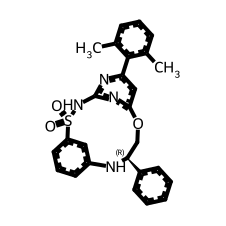 Cc1cccc(C)c1-c1cc2nc(n1)NS(=O)(=O)c1cccc(c1)N[C@H](c1ccccc1)CO2